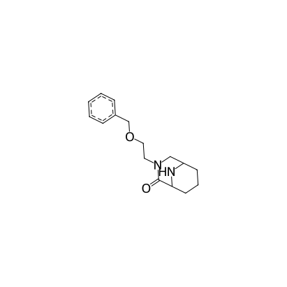 O=C1C2CCCC(CN1CCOCc1ccccc1)N2